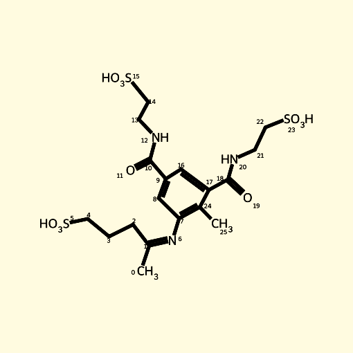 C/C(CCCS(=O)(=O)O)=N/c1cc(C(=O)NCCS(=O)(=O)O)cc(C(=O)NCCS(=O)(=O)O)c1C